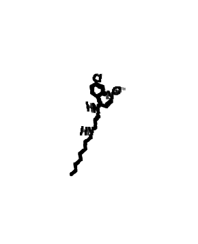 CCCCCCCCNCCCNc1cc[n+]([O-])c2cc(Cl)ccc12